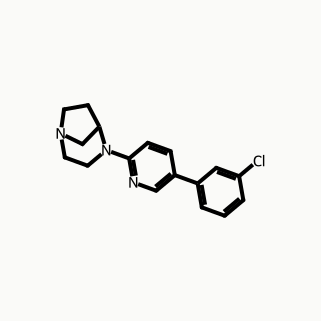 Clc1cccc(-c2ccc(N3CCN4CCC3C4)nc2)c1